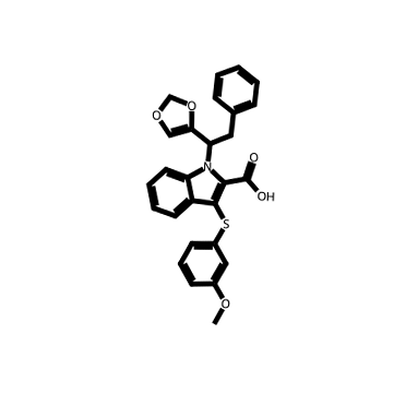 COc1cccc(Sc2c(C(=O)O)n(C(Cc3ccccc3)C3=COCO3)c3ccccc23)c1